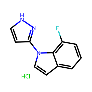 Cl.Fc1cccc2ccn(-c3cc[nH]n3)c12